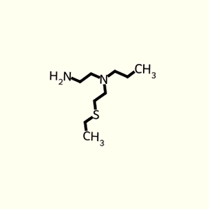 CCCN(CCN)CCSCC